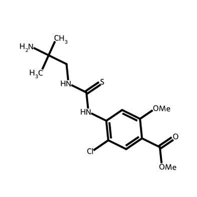 COC(=O)c1cc(Cl)c(NC(=S)NCC(C)(C)N)cc1OC